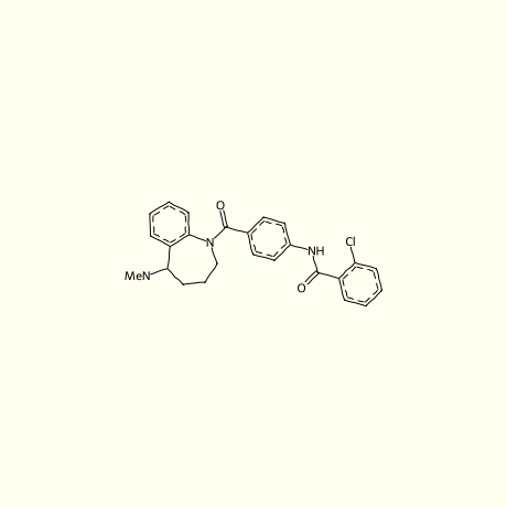 CNC1CCCN(C(=O)c2ccc(NC(=O)c3ccccc3Cl)cc2)c2ccccc21